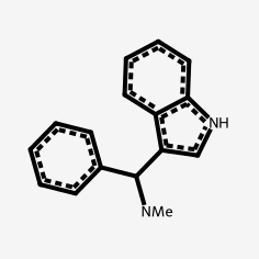 CNC(c1ccccc1)c1c[nH]c2ccccc12